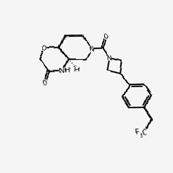 O=C1COC2CCN(C(=O)N3CC(c4ccc(CC(F)(F)F)cc4)C3)C[C@H]2N1